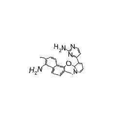 Cc1ccc2c(Oc3ncccc3-c3ccnc(N)n3)c(C)ccc2c1N